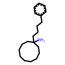 NC1(CCCCc2ccccc2)CCCCCCCCC1